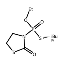 CCOP(=O)(S[C@@H](C)CC)N1CCSC1=O